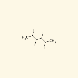 CC(I)C(I)C(I)C(C)I